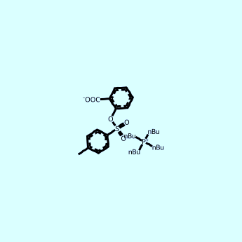 CCCC[P+](CCCC)(CCCC)CCCC.Cc1ccc(S(=O)(=O)Oc2ccccc2C(=O)[O-])cc1